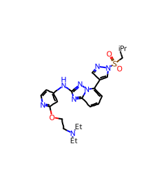 CCN(CC)CCOc1cc(Nc2nc3cccc(-c4cnn(S(=O)(=O)CC(C)C)c4)n3n2)ccn1